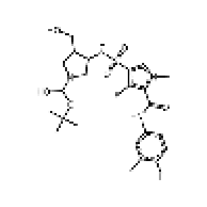 Cc1cc(NC(=O)c2c(F)c(S(=O)(=O)NC3CN(C(O)OC(C)(C)C)CC3CO)cn2C)ccc1F